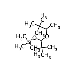 CC(OC(O[Si](C)(C)C)C(C)(C)C)C(C)(C)C